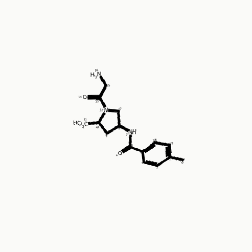 Cc1ccc(C(=O)NC2CC(C(=O)O)N(C(=O)CN)C2)cc1